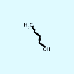 CCCCCC#CCC#CCC#CCO